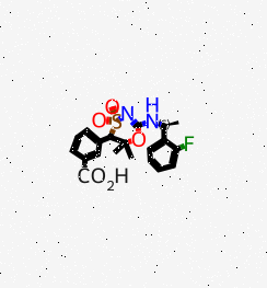 C[C@H](NC1=NS(=O)(=O)C(c2cccc(C(=O)O)c2)C(C)(C)O1)c1ccccc1F